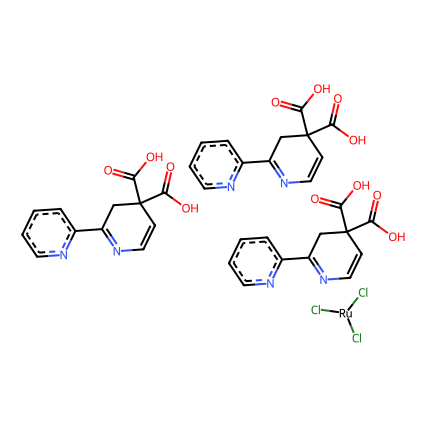 O=C(O)C1(C(=O)O)C=CN=C(c2ccccn2)C1.O=C(O)C1(C(=O)O)C=CN=C(c2ccccn2)C1.O=C(O)C1(C(=O)O)C=CN=C(c2ccccn2)C1.[Cl][Ru]([Cl])[Cl]